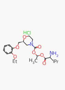 CCOc1ccccc1OC[C@@H]1CN(C(=O)OC(C)OC(=O)C(N)C(C)C)CCO1.Cl